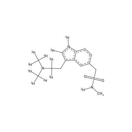 [2H]c1c(CC([2H])([2H])N(C([2H])([2H])[2H])C([2H])([2H])[2H])c2cc(CS(=O)(=O)N([2H])C)ccc2n1[2H]